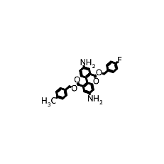 Cc1ccc(COC(=O)c2cc(N)ccc2-c2ccc(N)cc2C(=O)OCc2ccc(F)cc2)cc1